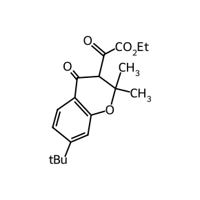 CCOC(=O)C(=O)C1C(=O)c2ccc(C(C)(C)C)cc2OC1(C)C